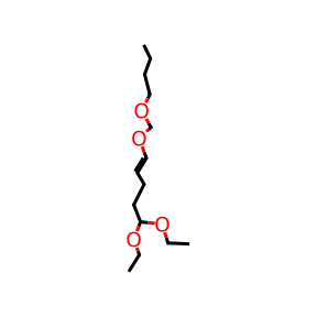 CCCCOCOC=CCCC(OCC)OCC